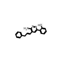 Nc1nnc(-c2ccccc2O)cc1/C=C/Cc1ccccc1